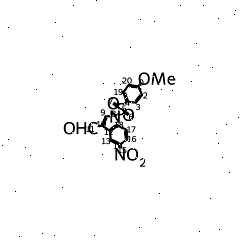 COc1ccc(S(=O)(=O)n2cc(C=O)c3cc([N+](=O)[O-])ccc32)cc1